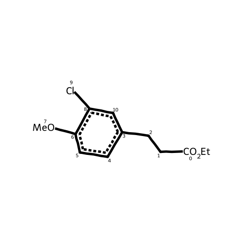 CCOC(=O)CCc1ccc(OC)c(Cl)c1